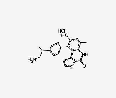 Cc1cc(O)c(-c2ccc([C@H](C)CN)cc2)c2c1[nH]c(=O)c1sccc12.Cl